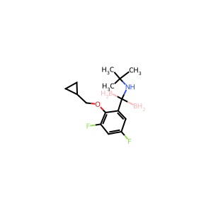 BC(B)(NC(C)(C)C)c1cc(F)cc(F)c1OCC1CC1